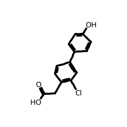 O=C(O)Cc1ccc(-c2ccc(O)cc2)cc1Cl